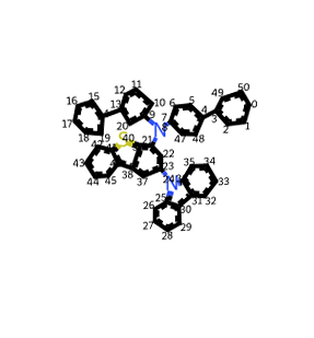 c1ccc(-c2ccc(N(c3cccc(-c4ccccc4)c3)c3cc(-n4c5ccccc5c5ccccc54)cc4c3sc3ccccc34)cc2)cc1